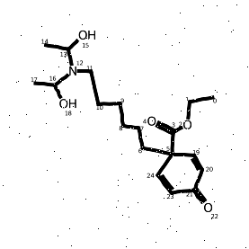 CCOC(=O)C1(CCCCCCN(C(C)O)C(C)O)C=CC(=O)C=C1